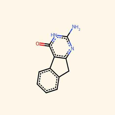 Nc1nc2c(c(=O)[nH]1)-c1ccccc1C2